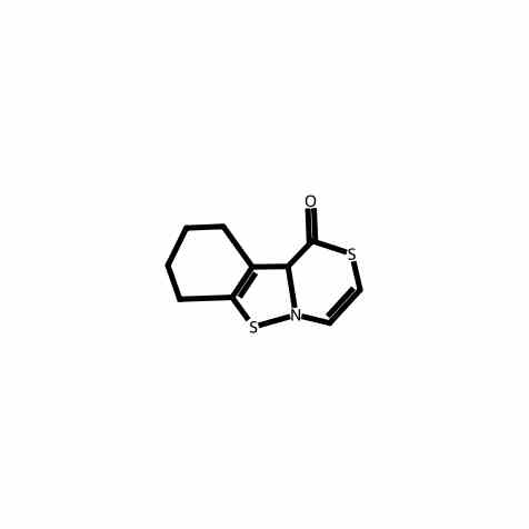 O=C1SC=CN2SC3=C(CCCC3)C12